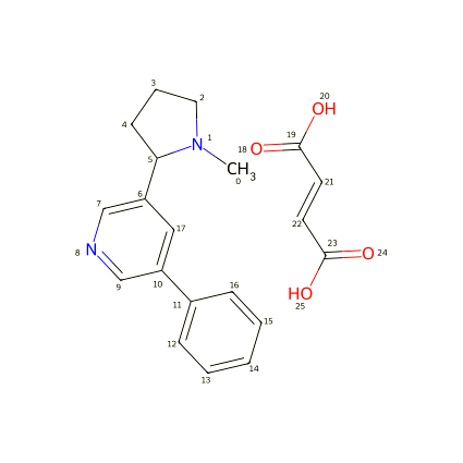 CN1CCCC1c1cncc(-c2ccccc2)c1.O=C(O)/C=C/C(=O)O